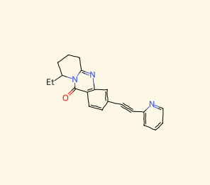 CCC1CCCc2nc3cc(C#Cc4ccccn4)ccc3c(=O)n21